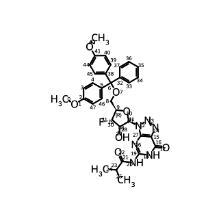 COc1ccc(C(OC[C@H]2O[C@@H](n3nnc4c(=O)[nH]c(NC(=O)C(C)C)nc43)[C@@H](O)[C@@H]2F)(c2ccccc2)c2ccc(OC)cc2)cc1